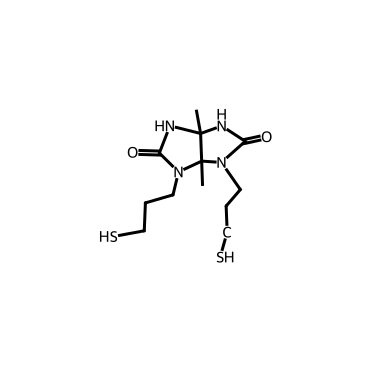 CC12NC(=O)N(CCCS)C1(C)N(CCCS)C(=O)N2